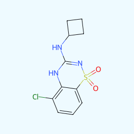 O=S1(=O)N=C(NC2CCC2)Nc2c(Cl)cccc21